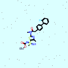 Cc1nc(N(C)C(=O)Cc2ccc(-c3ccccc3F)cc2)sc1S(C)(=N)=NC(=O)OC(C)(C)C